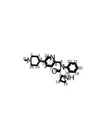 CN1CCC(c2ccc(CN(C(=O)[C@H]3CCN3)c3ccccc3)nc2)CC1